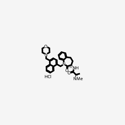 CN[C@@H](C)C(=O)N[C@H]1CCc2ccccc2N(Cc2ccc(CN3CCOCC3)c3ccccc23)C1=O.Cl